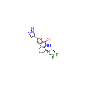 O=c1[nH]c2c(c3cc(-c4cn[nH]c4)sc13)CCCC2N1CCC(F)(F)C1